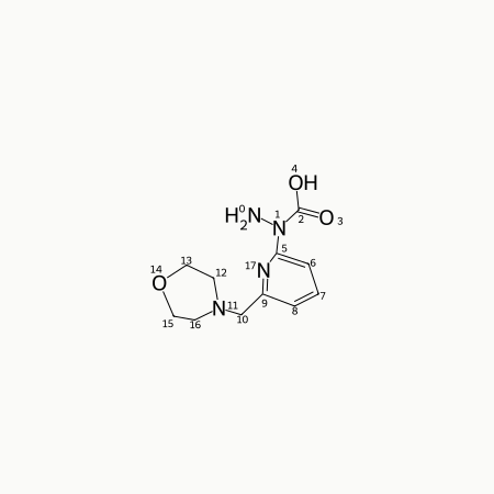 NN(C(=O)O)c1cccc(CN2CCOCC2)n1